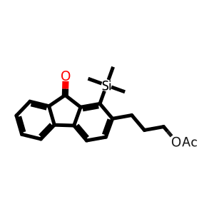 CC(=O)OCCCc1ccc2c(c1[Si](C)(C)C)C(=O)c1ccccc1-2